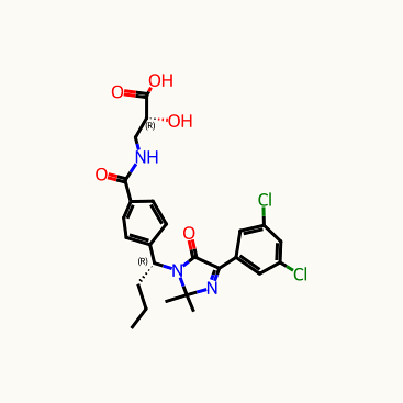 CCC[C@H](c1ccc(C(=O)NC[C@@H](O)C(=O)O)cc1)N1C(=O)C(c2cc(Cl)cc(Cl)c2)=NC1(C)C